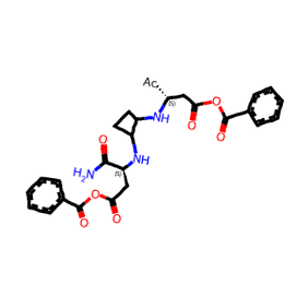 CC(=O)[C@H](CC(=O)OC(=O)c1ccccc1)NC1CCC1N[C@@H](CC(=O)OC(=O)c1ccccc1)C(N)=O